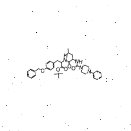 CC(C)CC(NC(=O)N1CCN(c2ccccc2)CC1)C(=O)NC(Cc1ccc(OCc2ccccc2)cc1)C(=O)OC(C)(C)C